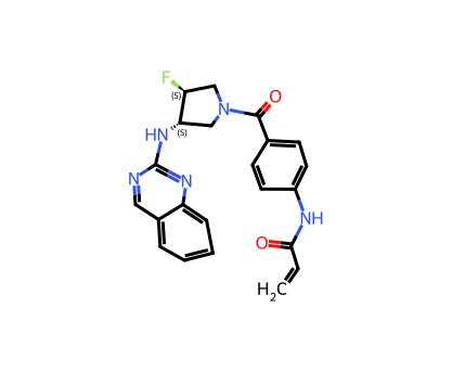 C=CC(=O)Nc1ccc(C(=O)N2C[C@H](Nc3ncc4ccccc4n3)[C@@H](F)C2)cc1